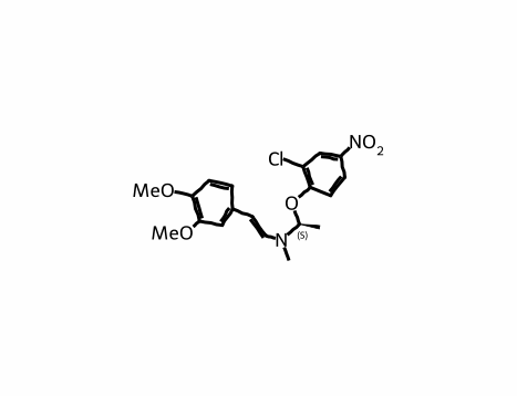 COc1ccc(C=CN(C)[C@H](C)Oc2ccc([N+](=O)[O-])cc2Cl)cc1OC